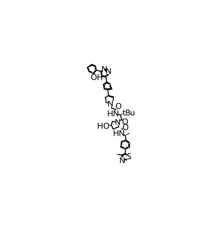 Cc1ncsc1-c1ccc([C@H](C)NC(=O)[C@@H]2C[C@@H](O)CN2C(=O)[C@@H](NC(=O)CN2CC=C(c3ccc(-c4cnnc(-c5ccccc5O)c4)cc3)CC2)C(C)(C)C)cc1